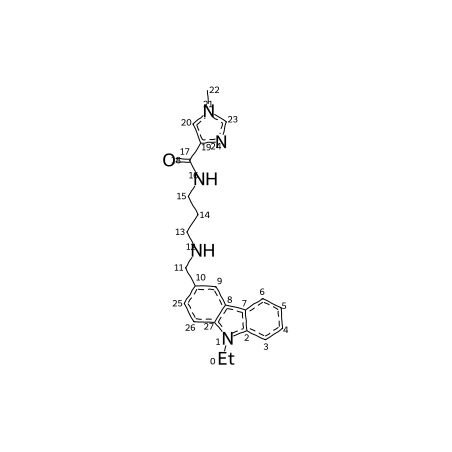 CCn1c2ccccc2c2cc(CNCCCNC(=O)c3cn(C)cn3)ccc21